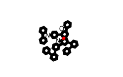 c1ccc(-c2ccccc2-c2ccc3c(c2)c2cc(-c4ccccc4-c4ccccc4)ccc2n3-c2cc(-n3c4ccccc4c4ccccc43)ccc2-c2cccc3c2oc2ccccc23)cc1